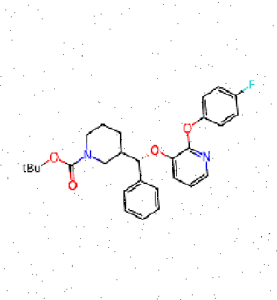 CC(C)(C)OC(=O)N1CCCC([C@H](Oc2cccnc2Oc2ccc(F)cc2)c2ccccc2)C1